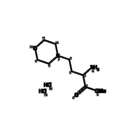 COC(=O)C(N)CCN1CCOCC1.Cl.Cl